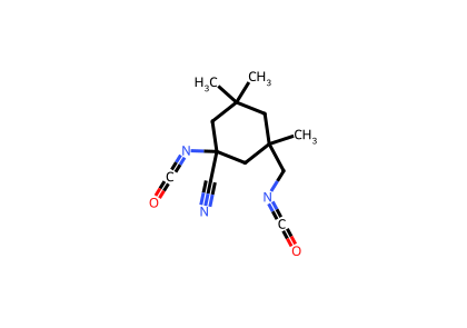 CC1(C)CC(C)(CN=C=O)CC(C#N)(N=C=O)C1